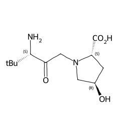 CC(C)(C)[C@H](N)C(=O)CN1C[C@H](O)C[C@H]1C(=O)O